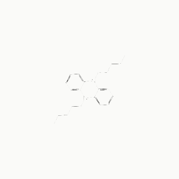 CCCCCN1c2ccccc2N(CCCCC)c2ccccc21